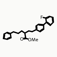 COC(=O)C(CCCc1ccccc1)CCc1ccc(-c2ccccc2F)cc1